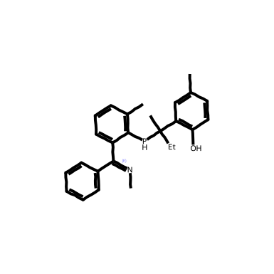 CCC(C)(Pc1c(C)cccc1/C(=N/C)c1ccccc1)c1cc(C)ccc1O